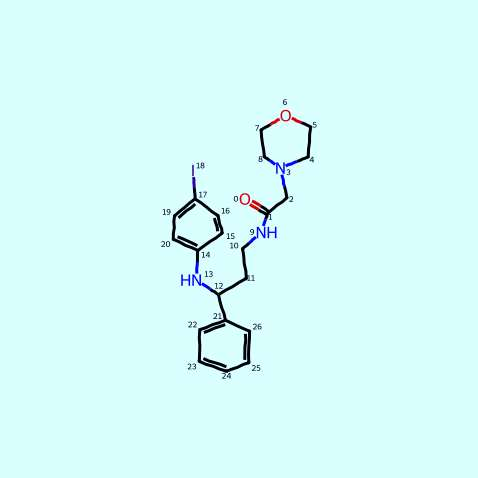 O=C(CN1CCOCC1)NCCC(Nc1ccc(I)cc1)c1ccccc1